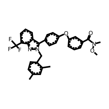 CON(C)C(=O)c1cccc(Oc2ccc(-c3c4cccc(C(F)(F)F)c4nn3Cc3ccc(C)cc3C)cc2)c1